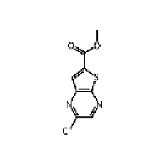 COC(=O)c1cc2nc(Cl)cnc2s1